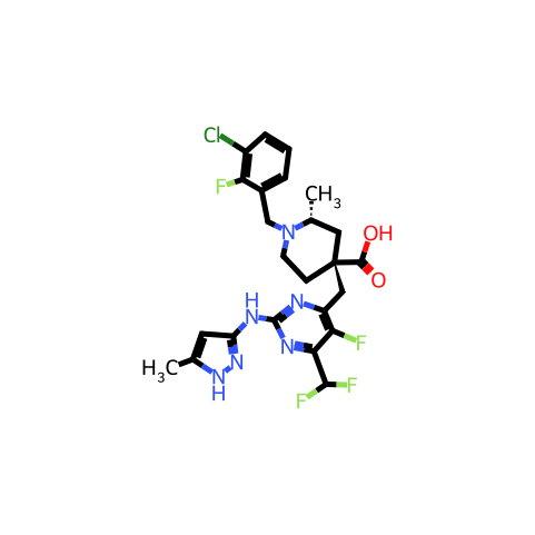 Cc1cc(Nc2nc(C[C@@]3(C(=O)O)CCN(Cc4cccc(Cl)c4F)[C@H](C)C3)c(F)c(C(F)F)n2)n[nH]1